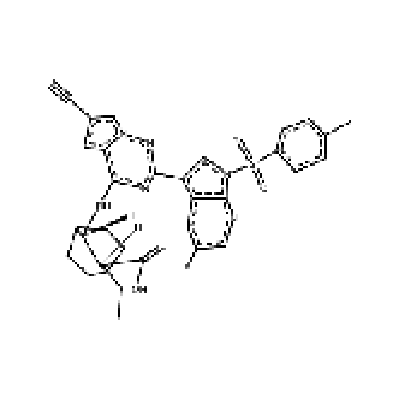 C#Cc1cc2c(N[C@H]3C4CCC(CC)(CC4)[C@@H]3C(=O)O)nc(-c3cn(S(=O)(=O)c4ccc(C)cc4)c4ncc(F)cc34)nn2c1